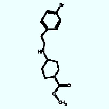 COC(=O)N1CCC(NCCc2ccc(Br)cc2)CC1